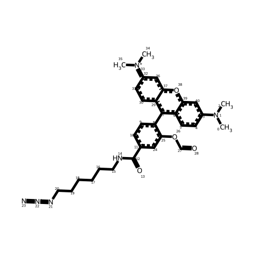 CN(C)c1ccc2c(-c3ccc(C(=O)NCCCCCCN=[N+]=[N-])cc3OC=O)c3ccc(=[N+](C)C)cc-3oc2c1